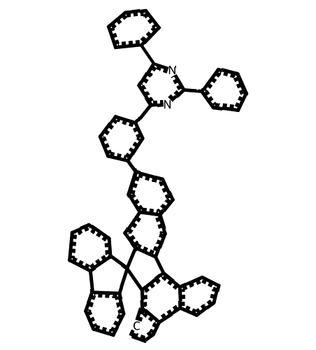 c1ccc(-c2cc(-c3cccc(-c4ccc5cc6c(cc5c4)C4(c5ccccc5-c5ccccc54)c4c-6c5ccccc5c5ccccc45)c3)nc(-c3ccccc3)n2)cc1